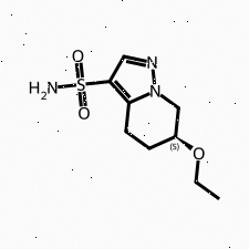 CCO[C@H]1CCc2c(S(N)(=O)=O)cnn2C1